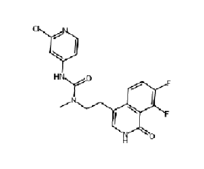 CN(CCc1c[nH]c(=O)c2c(F)c(F)ccc12)C(=O)Nc1ccnc(Cl)c1